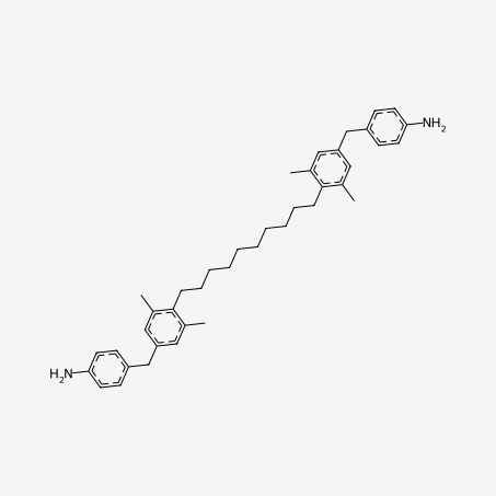 Cc1cc(Cc2ccc(N)cc2)cc(C)c1CCCCCCCCCCc1c(C)cc(Cc2ccc(N)cc2)cc1C